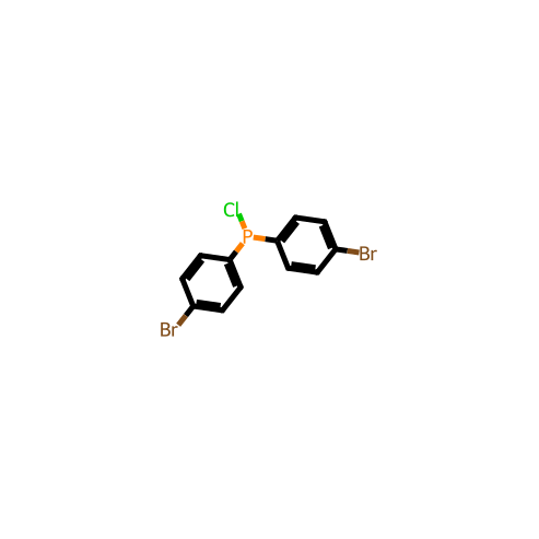 ClP(c1ccc(Br)cc1)c1ccc(Br)cc1